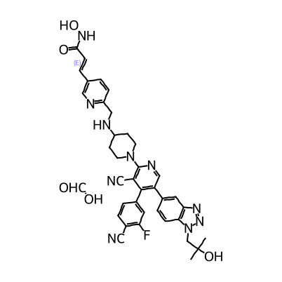 CC(C)(O)Cn1nnc2cc(-c3cnc(N4CCC(NCc5ccc(/C=C/C(=O)NO)cn5)CC4)c(C#N)c3-c3ccc(C#N)c(F)c3)ccc21.O=CO